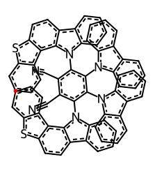 N#Cc1c(C#N)c(-n2c3ccccc3c3ccc4sc5ccccc5c4c32)c(-n2c3ccccc3c3ccccc32)c(-n2c3ccccc3c3ccccc32)c1-n1c2ccccc2c2ccc3sc4ccccc4c3c21